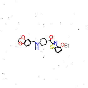 CCOc1cccc2sc(C(=O)C3CCC(NCc4ccc5c(c4)OCCO5)CC3)nc12